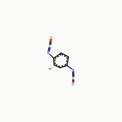 O=C=Nc1ccc(N=C=O)cc1.[H+]